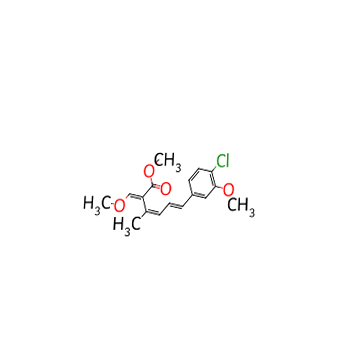 CO\C=C(C(=O)OC)/C(C)=C\C=C\c1ccc(Cl)c(OC)c1